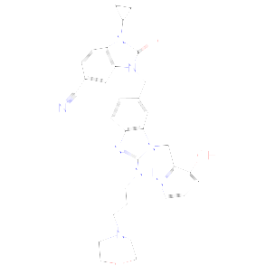 N#Cc1ccc2c(c1)n(Cc1ccc3nc(NCCCN4CCOCC4)n(Cc4ncccc4O)c3c1)c(=O)n2C1CC1